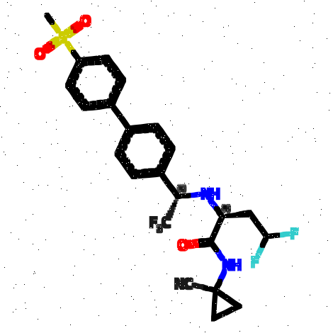 CS(=O)(=O)c1ccc(-c2ccc([C@H](N[C@@H](CC(F)F)C(=O)NC3(C#N)CC3)C(F)(F)F)cc2)cc1